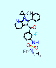 CCN(C)S(=O)(=O)Nc1cccc(C(=O)c2c(-c3ccccc3)n(C3(C#N)CC3)c3ncccc23)c1F